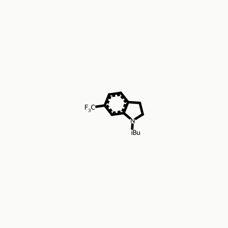 CCC(C)N1CCc2ccc(C(F)(F)F)cc21